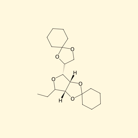 CCC1O[C@H](C2COC3(CCCCC3)O2)[C@@H]2OC3(CCCCC3)O[C@H]12